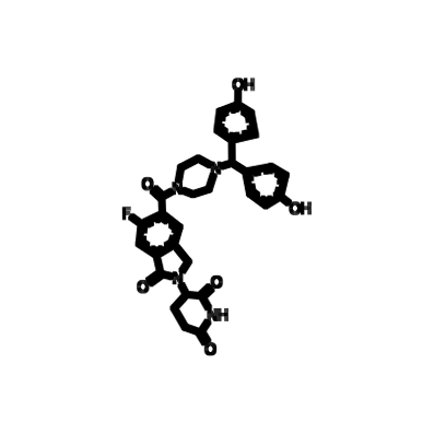 O=C1CCC(N2Cc3cc(C(=O)N4CCN(C(c5ccc(O)cc5)c5ccc(O)cc5)CC4)c(F)cc3C2=O)C(=O)N1